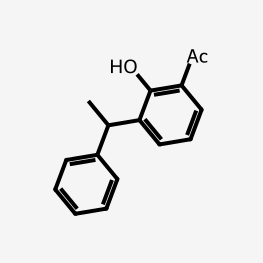 CC(=O)c1cccc(C(C)c2ccccc2)c1O